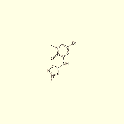 Cn1cc(Nc2cc(Br)cn(C)c2=O)cn1